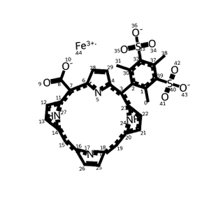 Cc1c(-c2c3nc(c(C(=O)[O-])c4ccc(cc5nc(cc6ccc2[nH]6)C=C5)[nH]4)C=C3)c(C)c(S(=O)(=O)[O-])c(C)c1S(=O)(=O)[O-].[Fe+3]